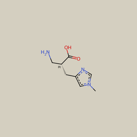 Cn1cnc(C[C@H](CN)C(=O)O)c1